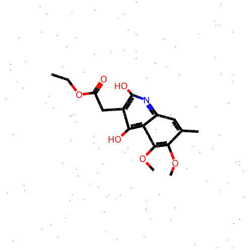 CCOC(=O)Cc1c(O)nc2cc(C)c(OC)c(OC)c2c1O